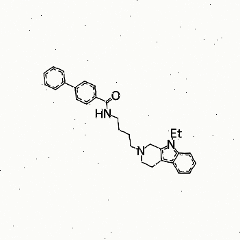 CCn1c2c(c3ccccc31)CCN(CCCCNC(=O)c1ccc(-c3ccccc3)cc1)C2